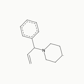 C=CC(c1ccccc1)N1CC[CH]CC1